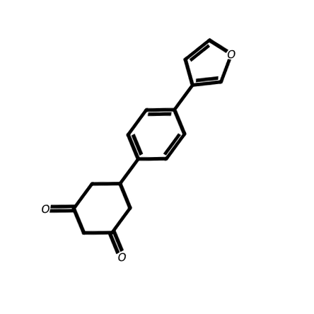 O=C1CC(=O)CC(c2ccc(-c3ccoc3)cc2)C1